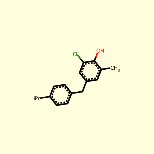 Cc1cc(Cc2ccc(C(C)C)cc2)cc(Cl)c1O